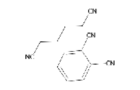 N#CCCCCC#N.N#Cc1ccccc1C#N